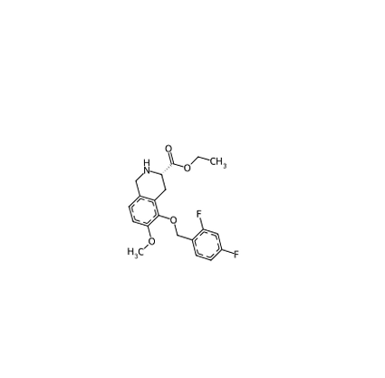 CCOC(=O)[C@@H]1Cc2c(ccc(OC)c2OCc2ccc(F)cc2F)CN1